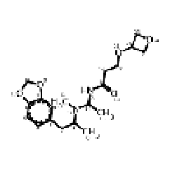 CC(Cc1ccc2c(c1)OCO2)N(C)C(C)NC(=O)CCOC1COC1